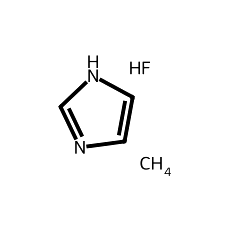 C.F.c1c[nH]cn1